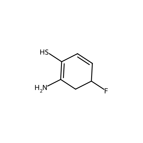 NC1=C(S)C=CC(F)C1